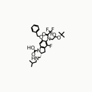 CC(C)CNC[C@H]1Cc2c(cc(OCc3ccccc3)c(N(CC(=O)OC(C)(C)C)C(=O)C(F)(F)F)c2F)N1C(=O)O